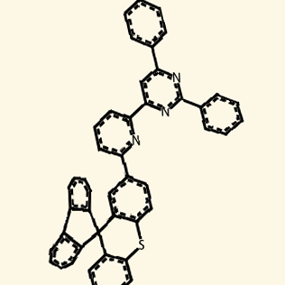 c1ccc(-c2cc(-c3cccc(-c4ccc5c(c4)C4(c6ccccc6S5)c5ccccc5-c5ccccc54)n3)nc(-c3ccccc3)n2)cc1